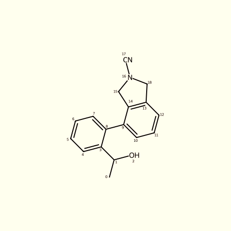 CC(O)c1ccccc1-c1cccc2c1CN(C#N)C2